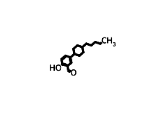 CCCCCC1CCC(c2ccc(O)c(C=O)c2)CC1